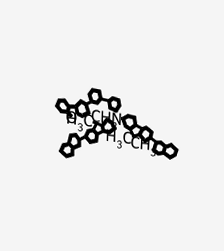 CC1(C)c2cc(-c3ccc4ccccc4c3)ccc2-c2ccc(N(c3cccc(-c4cccc(-c5ccc6oc7ccccc7c6c5)c4)c3)c3ccc4c(c3)C(C)(C)c3cc(-c5ccc6ccccc6c5)ccc3-4)cc21